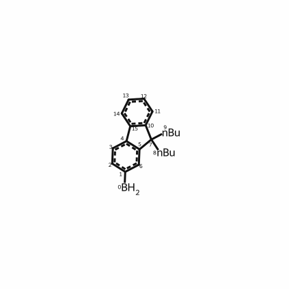 Bc1ccc2c(c1)C(CCCC)(CCCC)c1ccccc1-2